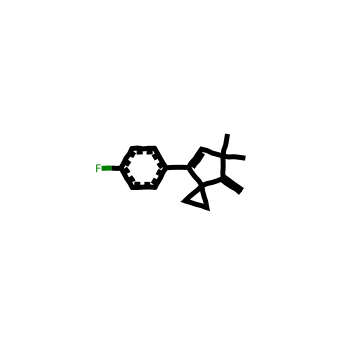 C=C1C(C)(C)C=C(c2ccc(F)cc2)C12CC2